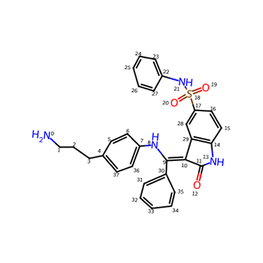 NCCCc1ccc(NC(=C2C(=O)Nc3ccc(S(=O)(=O)Nc4ccccc4)cc32)c2ccccc2)cc1